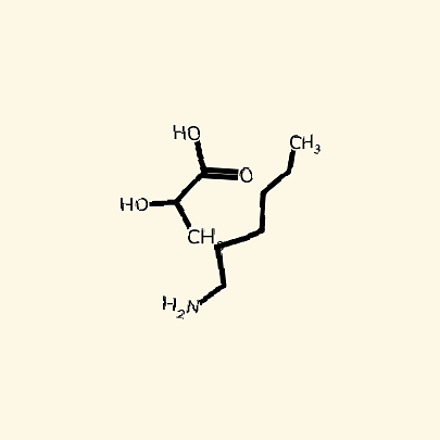 CC(O)C(=O)O.CCCCCCN